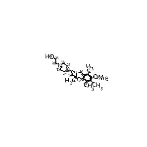 COc1c(C)c(C)c2c(c1C)CCC(C)(CCN1CCN(CCO)CC1)O2